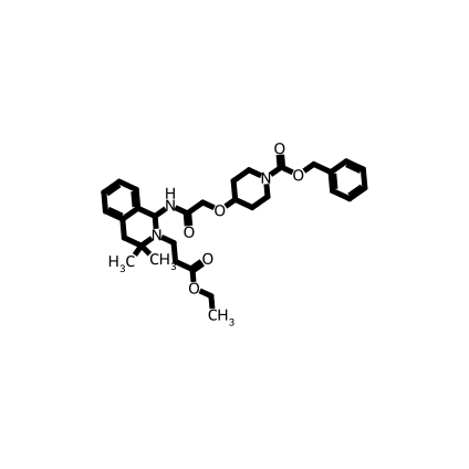 CCOC(=O)CCN1C(NC(=O)COC2CCN(C(=O)OCc3ccccc3)CC2)c2ccccc2CC1(C)C